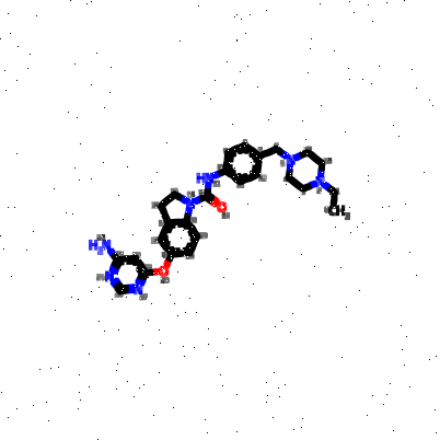 CCN1CCN(Cc2ccc(NC(=O)N3CCc4cc(Oc5cc(N)ncn5)ccc43)cc2)CC1